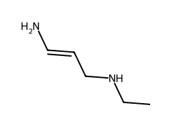 CCNCC=CN